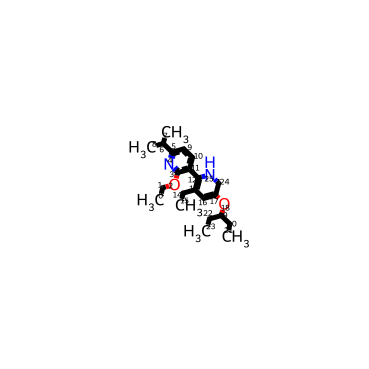 CCOc1nc(C(C)C)ccc1C1=C(CC)C=C(OC(CC)CC)[CH]N1